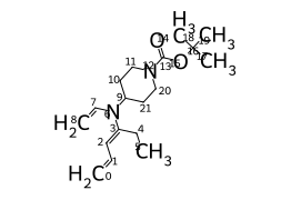 C=C/C=C(\CC)N(C=C)C1CCN(C(=O)OC(C)(C)C)CC1